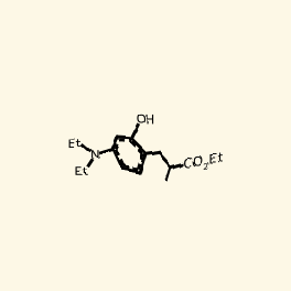 CCOC(=O)C(C)Cc1ccc(N(CC)CC)cc1O